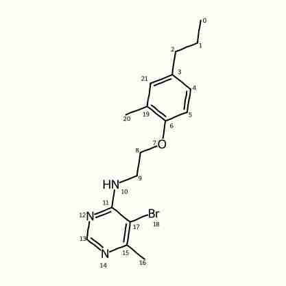 CCCc1ccc(OCCNc2ncnc(C)c2Br)c(C)c1